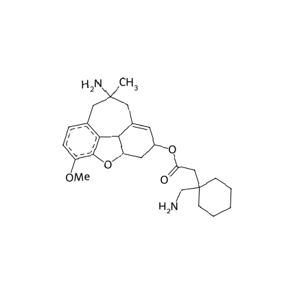 COc1ccc2c3c1OC1CC(OC(=O)CC4(CN)CCCCC4)C=C(CC(C)(N)C2)C31